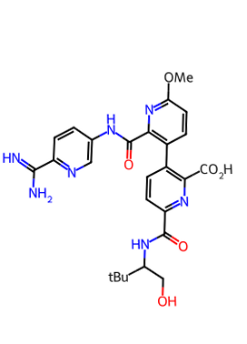 COc1ccc(-c2ccc(C(=O)NC(CO)C(C)(C)C)nc2C(=O)O)c(C(=O)Nc2ccc(C(=N)N)nc2)n1